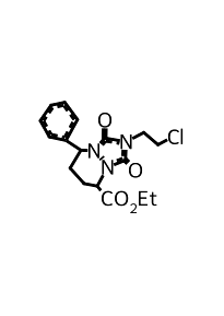 CCOC(=O)C1CCC(c2ccccc2)n2c(=O)n(CCCl)c(=O)n21